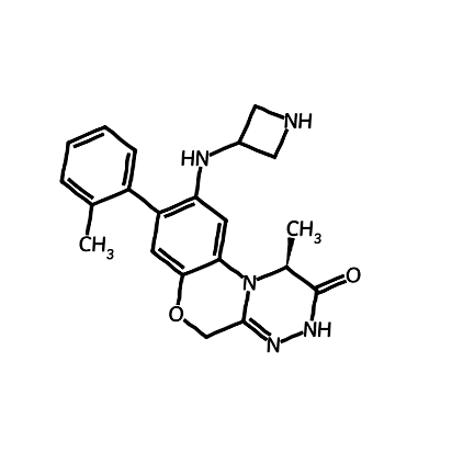 Cc1ccccc1-c1cc2c(cc1NC1CNC1)N1C(=NNC(=O)[C@@H]1C)CO2